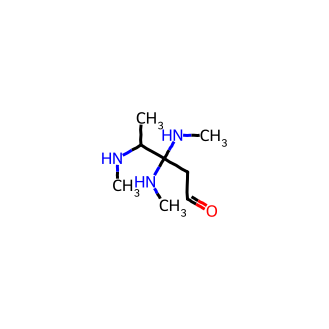 CNC(C)C(CC=O)(NC)NC